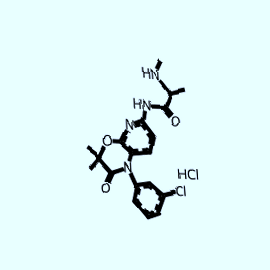 CNC(C)C(=O)Nc1ccc2c(n1)OC(C)(C)C(=O)N2c1cccc(Cl)c1.Cl